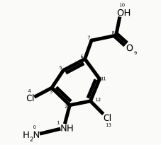 NNc1c(Cl)cc(CC(=O)O)cc1Cl